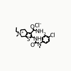 CC[N+]1(C)CCc2c(sc(NC(=O)N(C)c3ccc(Cl)cc3)c2C(N)=O)C1.[Cl-]